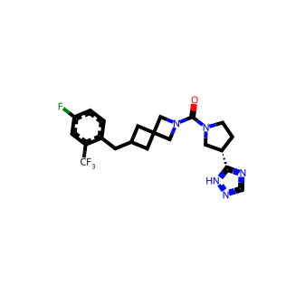 O=C(N1CC[C@H](c2ncn[nH]2)C1)N1CC2(CC(Cc3ccc(F)cc3C(F)(F)F)C2)C1